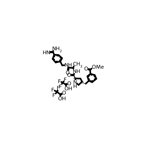 COC(=O)c1cccc(C[C@@H]2CN[C@@H](C(=O)NC(C)C(=O)NCc3ccc(C(=N)N)cc3)C2)c1.O=C(O)C(F)(F)F.O=C(O)C(F)(F)F